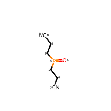 N#CCC[P](=O)CCC#N